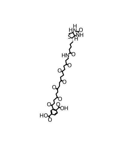 O=C(CCNC(=O)CCCC[C@@H]1SC[C@@H]2NC(=O)N[C@@H]21)CCC(=O)CCC(=O)CCC(=O)CCC(=O)CCC(=O)c1cc(C(=O)O)ccc1C(=O)O